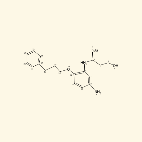 CCCC[C@@H](CCO)Nc1cc(N)ccc1OCCCc1ccccc1